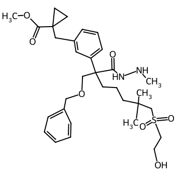 CNNC(=O)C(CCCC(C)(C)CS(=O)(=O)CCO)(COCc1ccccc1)c1cccc(CC2(C(=O)OC)CC2)c1